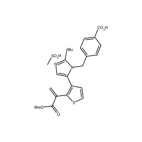 C=C(C(=O)OC)c1sccc1-c1cnc(CCCC)n1Cc1ccc(C(=O)O)cc1.CS(=O)(=O)O